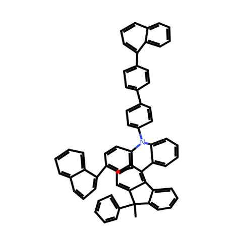 CC1(c2ccccc2)c2ccccc2-c2c(-c3ccccc3N(c3ccc(-c4ccc(-c5cccc6ccccc56)cc4)cc3)c3ccc(-c4cccc5ccccc45)cc3)cccc21